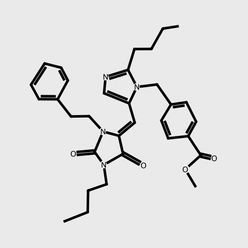 CCCCc1ncc(/C=C2/C(=O)N(CCCC)C(=O)N2CCc2ccccc2)n1Cc1ccc(C(=O)OC)cc1